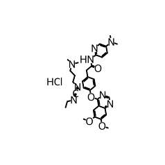 CCN=C=NCCCN(C)C.COc1cc2ncnc(Oc3ccc(CC(=O)Nc4ccc(N(C)C)cn4)cc3)c2cc1OC.Cl